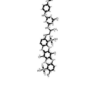 CC(CNc1ccc2c(c1S(=O)(=O)O)Oc1c(Cl)c3c(c(Cl)c1=N2)Oc1c(ccc(Br)c1S(=O)(=O)O)N=3)Nc1nc(Cl)nc(Nc2ccc([SH](=O)=O)cc2)n1